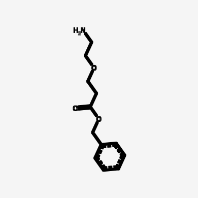 NCCOCCC(=O)OCc1ccccc1